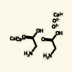 NCC(=O)O.NCC(=O)O.[Ca+2].[Ca+2].[Ca+2].[O-2].[O-2]